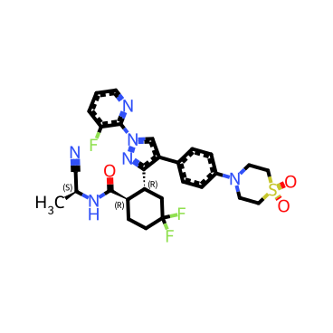 C[C@@H](C#N)NC(=O)[C@@H]1CCC(F)(F)C[C@H]1c1nn(-c2ncccc2F)cc1-c1ccc(N2CCS(=O)(=O)CC2)cc1